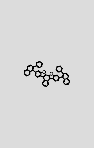 c1ccc(-c2ccc3ccccc3c2-c2ccc3c(c2)oc2c4oc5cc(-c6c(-c7ccccc7)ccc7ccccc67)ccc5c4c4ccccc4c32)cc1